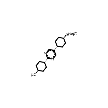 CCCCCCC[C@H]1CC[C@H](c2cnc([C@H]3CC[C@H](C#N)CC3)nc2)CC1